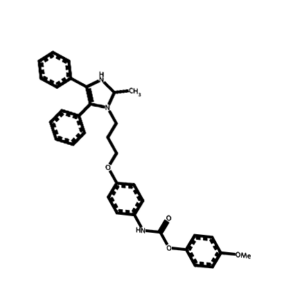 COc1ccc(OC(=O)Nc2ccc(OCCCN3C(c4ccccc4)=C(c4ccccc4)NC3C)cc2)cc1